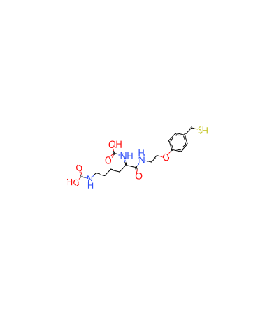 O=C(O)NCCCCC(NC(=O)O)C(=O)NCCOc1ccc(CS)cc1